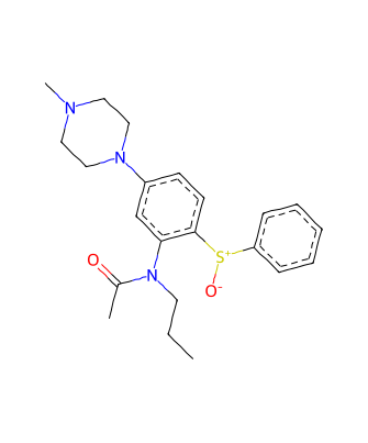 CCCN(C(C)=O)c1cc(N2CCN(C)CC2)ccc1[S+]([O-])c1ccccc1